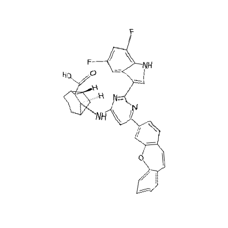 O=C(O)[C@H]1C2CCC(CC2)[C@@H]1Nc1cc(-c2ccc3c(c2)Oc2ccccc2C=C3)nc(-c2c[nH]c3c(F)cc(F)cc23)n1